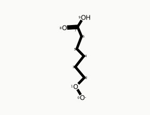 [O]OCCCCCC(=O)O